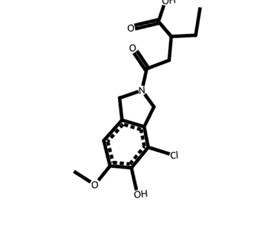 CCC(CC(=O)N1Cc2cc(OC)c(O)c(Cl)c2C1)C(=O)O